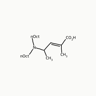 CCCCCCCCN(CCCCCCCC)C(C)C=C(C)C(=O)O